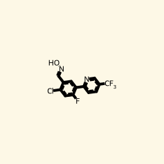 ON=Cc1cc(-c2ccc(C(F)(F)F)cn2)c(F)cc1Cl